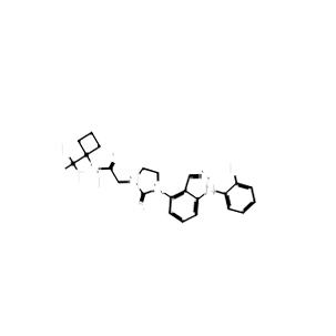 O=C(CN1CCN(c2cccc3c2cnn3-c2ccccc2F)C1=O)NC1(C(F)(F)F)CCC1